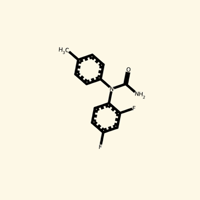 Cc1ccc(N(C(N)=O)c2ccc(F)cc2F)cc1